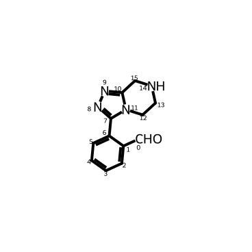 O=Cc1ccccc1-c1nnc2n1CCNC2